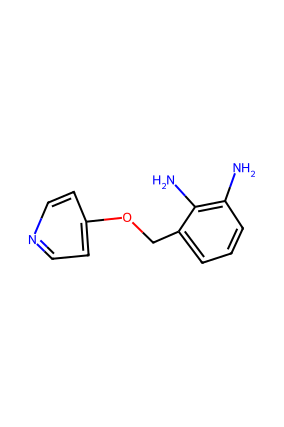 Nc1cccc(COc2ccncc2)c1N